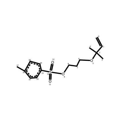 C=CC(C)(C)OCCCOS(=O)(=O)c1ccc(C)cc1